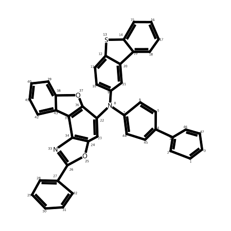 c1ccc(-c2ccc(N(c3ccc4sc5ccccc5c4c3)c3cc4oc(-c5ccccc5)nc4c4c3oc3ccccc34)cc2)cc1